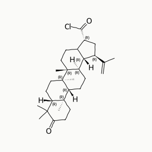 C=C(C)[C@@H]1C[C@@H](C(=O)Cl)C2CC[C@]3(C)[C@H](CC[C@@H]4[C@@]5(C)CCC(=O)C(C)(C)[C@@H]5CC[C@]43C)[C@H]21